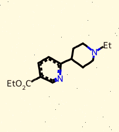 CCOC(=O)c1ccc(C2CCN(CC)CC2)nc1